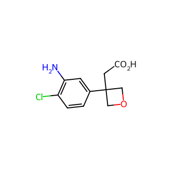 Nc1cc(C2(CC(=O)O)COC2)ccc1Cl